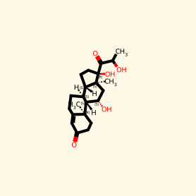 CC(O)C(=O)[C@@]1(O)CC[C@H]2[C@@H]3CCC4=CC(=O)CC[C@]4(C)[C@H]3[C@@H](O)C[C@@]21C